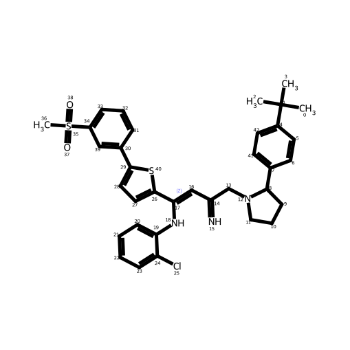 CC(C)(C)c1ccc(C2CCCN2CC(=N)/C=C(\Nc2ccccc2Cl)c2ccc(-c3cccc(S(C)(=O)=O)c3)s2)cc1